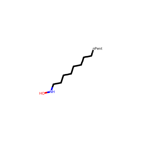 CCCCCCCCCCCCCNO